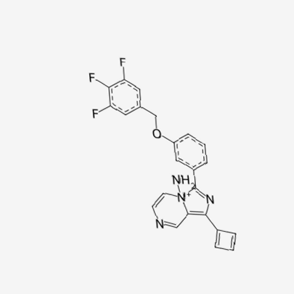 N[N+]12C=CN=CC1=C(C1=CC=C1)N=C2c1cccc(OCc2cc(F)c(F)c(F)c2)c1